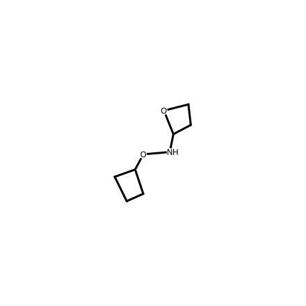 C1CC(ONC2CCO2)C1